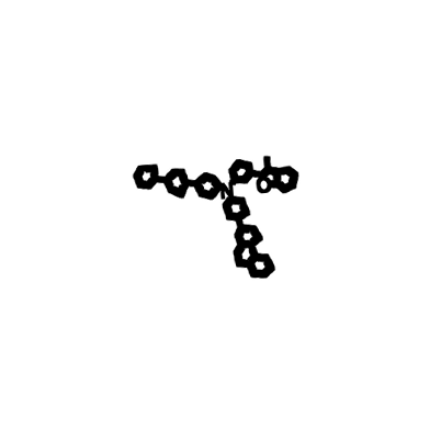 Cc1c(-c2cccc(N(c3ccc(-c4ccc(-c5ccccc5)cc4)cc3)c3ccc(-c4ccc5c(ccc6ccccc65)c4)cc3)c2)oc2ccccc12